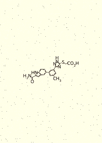 Cc1cc(-c2ccc3[nH]c(C(N)=O)cc3c2)cc(-c2n[nH]c(SCC(=O)O)n2)c1